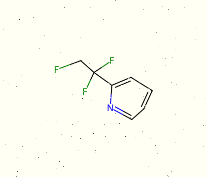 FCC(F)(F)c1ccccn1